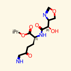 CC(C)OC(=O)[C@H](CCC(=O)C=N)NC(=O)[C@H](O)C1COC=N1